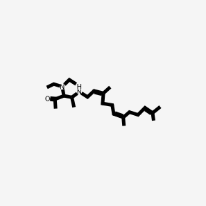 CCN(CC)C(C(C)=O)C(C)NCC=C(C)CCC=C(C)CCC=C(C)C